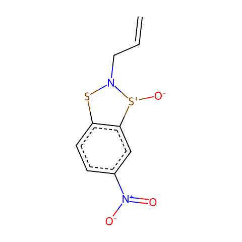 C=CCN1Sc2ccc([N+](=O)[O-])cc2[S+]1[O-]